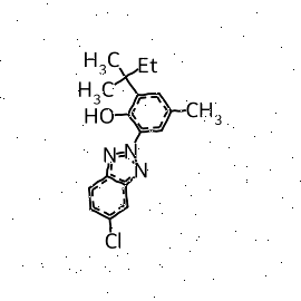 CCC(C)(C)c1cc(C)cc(-n2nc3ccc(Cl)cc3n2)c1O